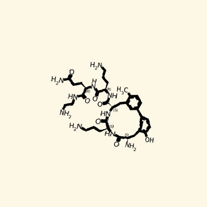 Cc1ccc2cc1C[C@@H](C(=O)N[C@H](CCCN)C(=O)N[C@H](CCC(N)=O)C(=O)NCCN)NC(=O)[C@H](CCCN)NC(=O)[C@@H](N)Cc1cc-2ccc1O